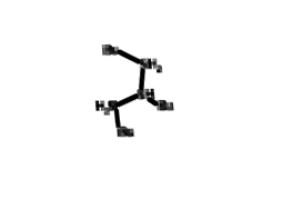 CCC(C)[SiH2][SiH]([SiH2]C(C)CC)C(C)CC